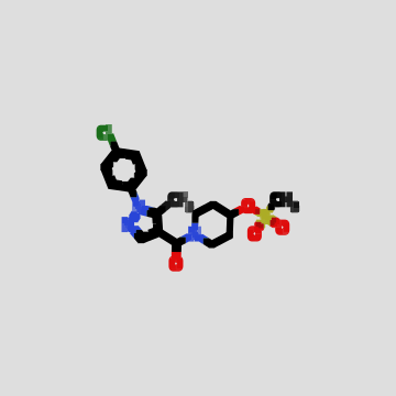 CS(=O)(=O)OC1CCN(C(=O)c2cnn(-c3ccc(Cl)cc3)c2C(F)(F)F)CC1